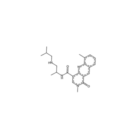 Cc1cccc2cc3c(=O)n(C)cc(C(=O)NC(C)CNCC(C)C)c3nc12